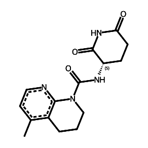 Cc1ccnc2c1CCCN2C(=O)N[C@H]1CCC(=O)NC1=O